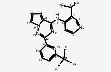 FC(F)c1cnccc1Nc1nc(-c2cccc(C(F)(F)F)n2)nn2cccc12